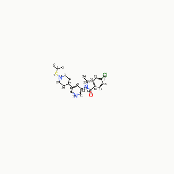 CC(C)SN1CCC(c2cncc(N3C(=O)c4ccc(Cl)cc4[C@@H]3C)c2)CC1